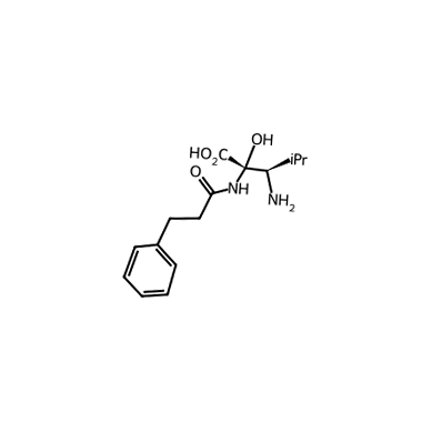 CC(C)[C@@H](N)[C@@](O)(NC(=O)CCc1ccccc1)C(=O)O